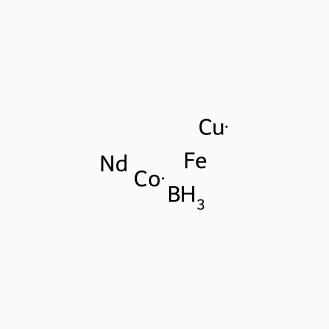 B.[Co].[Cu].[Fe].[Nd]